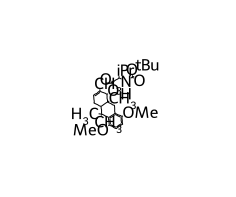 COc1ccc(OC)c2c1CC1(C)C(OC(=O)C(NC(=O)OC(C)(C)C)C(C)C)C(C)=CCC1C2(C)C